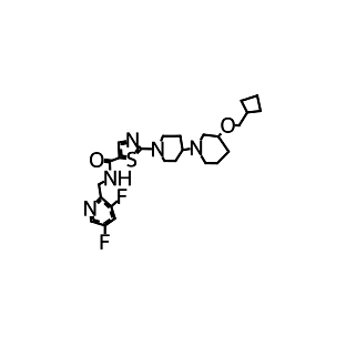 O=C(NCc1ncc(F)cc1F)c1cnc(N2CCC(N3CCC[C@H](OCC4CCC4)C3)CC2)s1